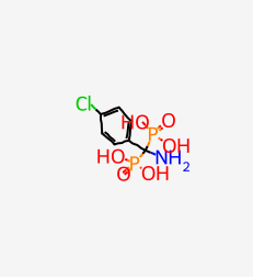 NC(c1ccc(Cl)cc1)(P(=O)(O)O)P(=O)(O)O